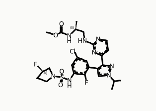 COC(=O)N[C@@H](C)CNc1nccc(-c2nn(C(C)C)cc2-c2cc(Cl)cc(NS(=O)(=O)N3CC[C@@H](F)C3)c2F)n1